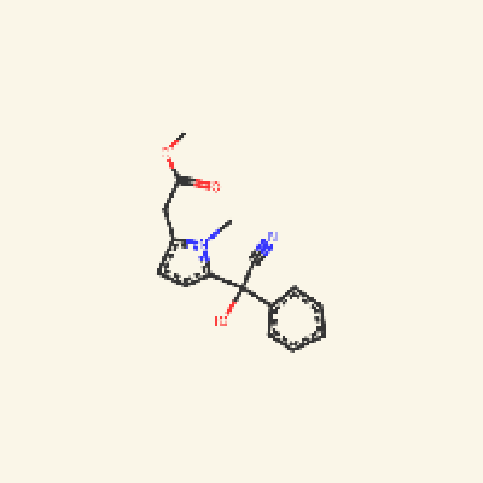 COC(=O)Cc1ccc(C(O)(C#N)c2ccccc2)n1C